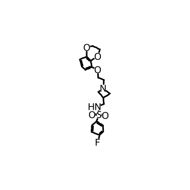 O=S(=O)(NCC1CN(CCOc2cccc3c2OCCO3)C1)c1ccc(F)cc1